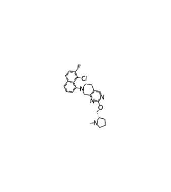 CN1CCC[C@H]1COc1ncc2c(n1)CN(c1cccc3ccc(F)c(Cl)c13)CC2